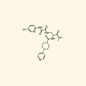 CN(C)C(=O)C(CNC(=O)C(=O)Nc1ccc(Cl)cn1)NC(=O)C1CCC(c2ccncc2)CC1